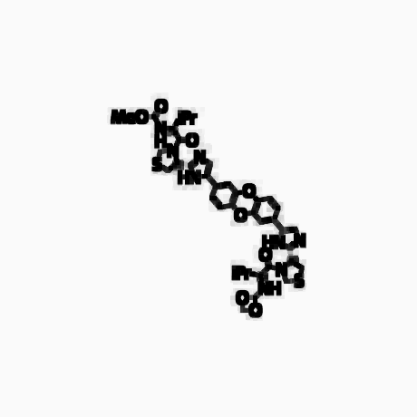 COC(=O)N[C@H](C(=O)N1CSC[C@H]1c1ncc(-c2ccc3c(c2)Oc2ccc(-c4cnc([C@@H]5CSCN5C(=O)[C@@H](NC5OCO5)C(C)C)[nH]4)cc2O3)[nH]1)C(C)C